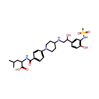 CC(C)CC(NC(=O)c1ccc(N2CCC(NCC(O)c3ccc(O)c(NS(C)(=O)=O)c3)CC2)cc1)C(=O)O